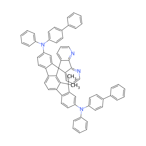 CC1(C)c2cc(N(c3ccccc3)c3ccc(-c4ccccc4)cc3)ccc2-c2ccc3c(c21)C1(c2cc(N(c4ccccc4)c4ccc(-c5ccccc5)cc4)ccc2-3)c2cccnc2-c2ncccc21